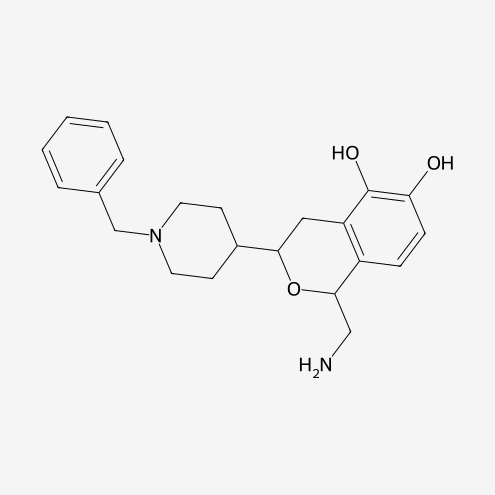 NCC1OC(C2CCN(Cc3ccccc3)CC2)Cc2c1ccc(O)c2O